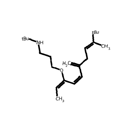 C=C(/C=C\C(=C/C)OCCCNC(C)(C)C)C/C=C(\C)C(C)(C)C